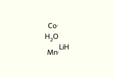 O.[Co].[LiH].[Mn]